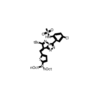 CCCCCCCCN(CCCCCCCC)c1ccc(/C=c2/c(C(C)(C)C)nn3c(-c4cc(Cl)ccc4NS(C)(=O)=O)nnc23)s1